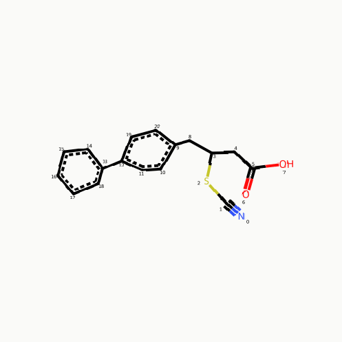 N#CSC(CC(=O)O)Cc1ccc(-c2ccccc2)cc1